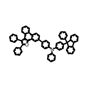 c1ccc(-c2oc3c4cc(-c5ccc(N(c6ccccc6)c6ccc(C7(c8ccccc8)c8ccccc8-c8ccccc87)cc6)cc5)ccc4c4ccccc4c3c2-c2ccccc2)cc1